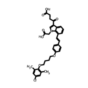 Cc1cc(Cl)cc(C)c1OCCCCOc1ccc(C=Cc2cccc3c(C(=O)CCC(=O)O)cn(CC(=O)O)c23)cc1